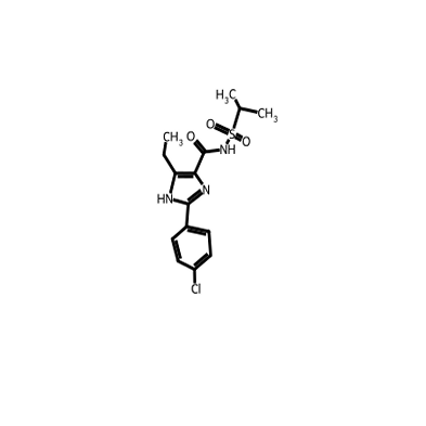 CCc1[nH]c(-c2ccc(Cl)cc2)nc1C(=O)NS(=O)(=O)C(C)C